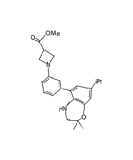 COC(=O)C1CN(c2cccc(-c3cc(C(C)C)cc4c3NCC(C)(C)O4)c2)C1